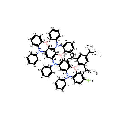 CC(C)c1cc(C(C)C)c(B2c3cc(F)ccc3N(c3ccccc3)c3cc4c(cc32)B2c3ccccc3N3c5ccccc5B5c6ccccc6N(c6ccccc6)c6cc(c2c3c65)N4c2ccccc2)c(C(C)C)c1